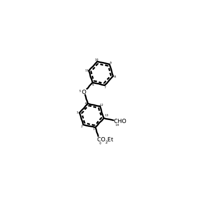 CCOC(=O)c1ccc(Oc2ccccc2)cc1C=O